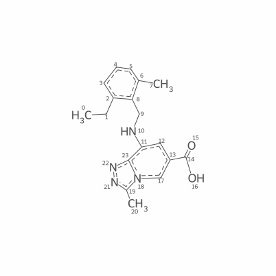 CCc1cccc(C)c1CNc1cc(C(=O)O)cn2c(C)nnc12